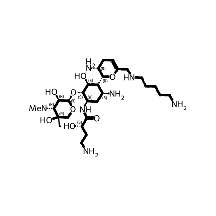 CN[C@@H]1[C@@H](O)[C@@H](O[C@H]2[C@H](NC(=O)[C@@H](O)CCN)C[C@H](N)C([C@H]3OC(CNCCCCCN)=CC[C@H]3N)[C@@H]2O)OC[C@]1(C)O